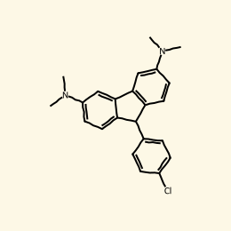 CN(C)c1ccc2c(c1)-c1cc(N(C)C)ccc1C2c1ccc(Cl)cc1